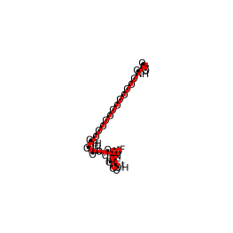 CC[C@@]1(O)C(=O)OCc2c1cc1n(c2=O)Cc2c-1nc1cc(F)c(C)c3c1c2[C@@H](NC(=O)[C@H](O)CCOCNC(=O)[C@H](C)NC(=O)[C@H](C)NC(=O)CCOCCOCCOCCOCCOCCOCCOCCOCCOCCOCCOCCOCCNC(=O)CCN1C(=O)C=CC1=O)CC3